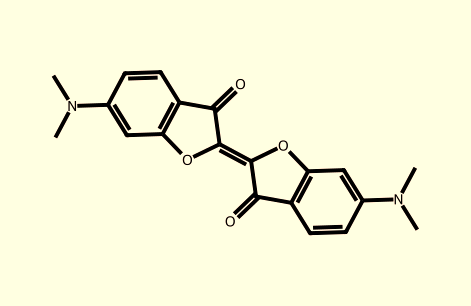 CN(C)c1ccc2c(c1)O/C(=C1/Oc3cc(N(C)C)ccc3C1=O)C2=O